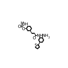 Nc1ccc(-c2cccs2)cc1NC(=O)C=Cc1cccc(O[PH](=O)O)c1